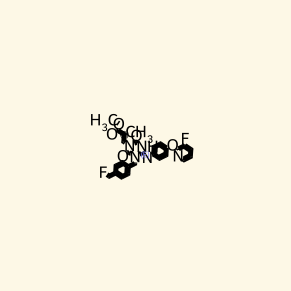 COC(=O)[C@@H](C)Cn1c(=O)[nH]/c(=N\c2ccc(Oc3ncccc3F)cc2)n(Cc2ccc(CF)cc2)c1=O